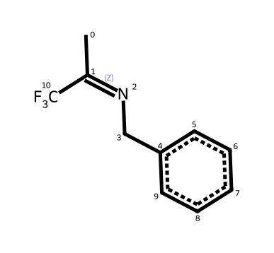 C/C(=N/Cc1ccccc1)C(F)(F)F